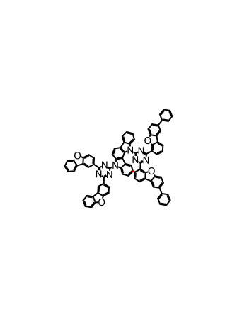 c1ccc(-c2ccc3oc4c(-c5nc(-c6cccc7c6oc6ccc(-c8ccccc8)cc67)nc(-n6c7ccccc7c7ccc8c(c9ccccc9n8-c8nc(-c9ccc%10oc%11ccccc%11c%10c9)nc(-c9ccc%10oc%11ccccc%11c%10c9)n8)c76)n5)cccc4c3c2)cc1